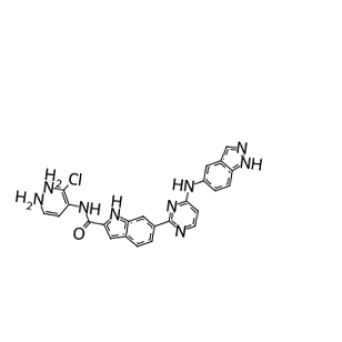 N/C=C\C(NC(=O)c1cc2ccc(-c3nccc(Nc4ccc5[nH]ncc5c4)n3)cc2[nH]1)=C(/N)Cl